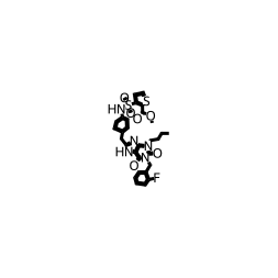 CCCCn1c(=O)n(Cc2ccccc2F)c(=O)c2[nH]c(Cc3ccc(NS(=O)(=O)c4ccsc4C(=O)OC)cc3)nc21